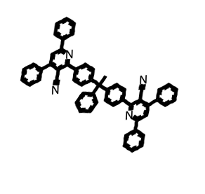 CC(c1ccccc1)(c1ccc(-c2nc(-c3ccccc3)cc(-c3ccccc3)c2C#N)cc1)c1ccc(-c2nc(-c3ccccc3)cc(-c3ccccc3)c2C#N)cc1